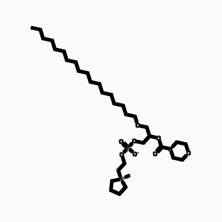 CCCCCCCCCCCCCCCCCCOCC(COP(=O)([O-])OCC[N+]1(C)CCCC1)OC(=O)N1CCOCC1